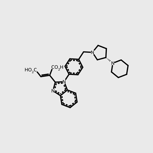 O=C(O)C=C(C(=O)O)c1nc2ccccc2n1-c1ccc(CN2CC[C@H](N3CCCCC3)C2)cc1